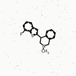 CN1Cc2ccccc2C(c2cc3cccc(F)c3s2)C1